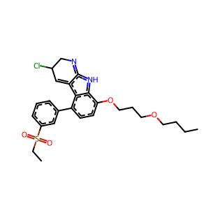 CCCCOCCCOc1ccc(-c2cccc(S(=O)(=O)CC)c2)c2c3c([nH]c12)=NCC(Cl)C=3